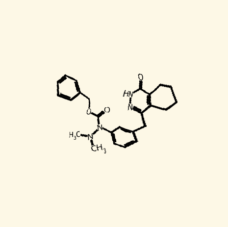 CN(C)N(C(=O)OCc1ccccc1)c1cccc(Cc2n[nH]c(=O)c3c2CCCC3)c1